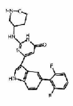 O=c1cc(-c2c[nH]c3ccc(-c4c(F)cccc4F)cc23)nc(NC2CCCNC2)[nH]1